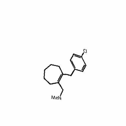 CNCC1=C(Cc2ccc(Cl)cc2)CCCCC1